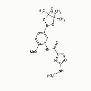 CSc1ccc(B2OC(C)(C)C(C)(C)O2)cc1NC(=O)c1coc(NC(=O)O)n1